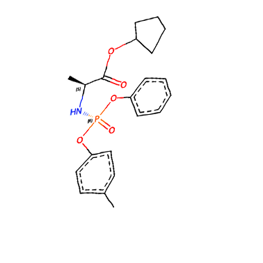 Cc1ccc(O[P@@](=O)(N[C@@H](C)C(=O)OC2CCCC2)Oc2ccccc2)cc1